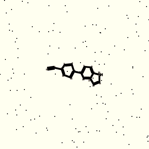 C#Cc1ccc(-c2ccc3[nH]ccc3c2)cc1